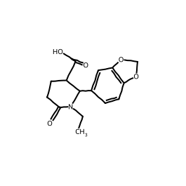 CCN1C(=O)CCC(C(=O)O)C1c1ccc2c(c1)OCO2